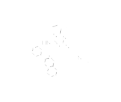 CC(C)C1=C2N=C(N3CCC(N)CC3)N=C(NCc3ccccc3-c3cc4ccccc4cn3)N2CC=C1